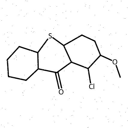 COC1CCC2SC3CCCCC3C(=O)C2C1Cl